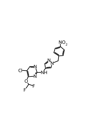 O=[N+]([O-])c1ccc(Cn2cc(Nc3ncc(Cl)c(OC(F)F)n3)cn2)cc1